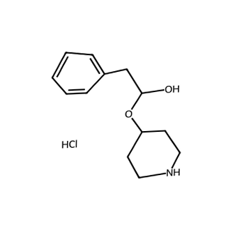 Cl.OC(Cc1ccccc1)OC1CCNCC1